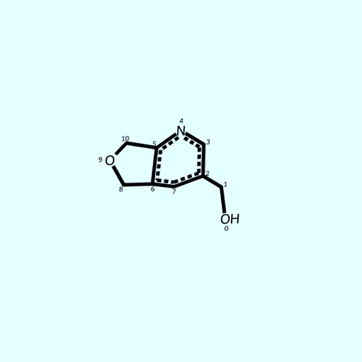 OCc1cnc2c(c1)COC2